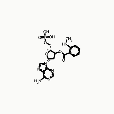 CNc1ccccc1C(=O)OC1C[C@H](n2cnc3c(N)ncnc32)O[C@@H]1COP(=O)(O)O